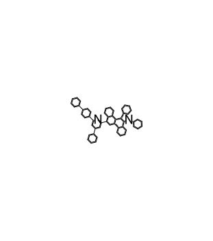 c1ccc(-c2ccc(-c3cc(-c4ccccc4)cc(-c4cc5c6ccccc6c6c(c7ccccc7n6-c6ccccc6)c5c5ccccc45)n3)cc2)cc1